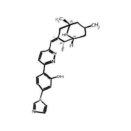 CC1C[C@H]2N[C@](C)(C/C(=C/c3ccc(-c4ccc(-n5ccnc5)cc4O)nn3)[C@H]2F)C1